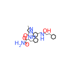 Cc1cc(C(=O)NC(Cc2ccccc2)C(=O)C(N)=O)n(-c2cccc(CNC(O)CCc3ccccc3)c2)n1